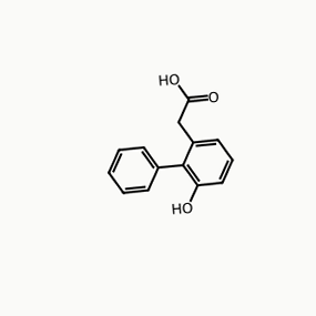 O=C(O)Cc1cccc(O)c1-c1ccccc1